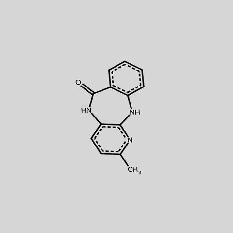 Cc1ccc2c(n1)Nc1ccccc1C(=O)N2